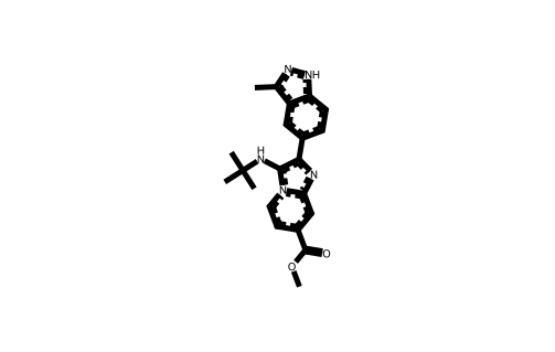 COC(=O)c1ccn2c(NC(C)(C)C)c(-c3ccc4[nH]nc(C)c4c3)nc2c1